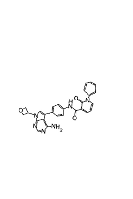 Nc1ncnc2c1c(-c1ccc(NC(=O)c3cccn(-c4ccccc4)c3=O)cc1)cn2C1COC1